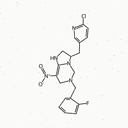 O=[N+]([O-])C1=C2NCC(Cc3ccc(Cl)nc3)N2CN(Cc2ccccc2F)C1